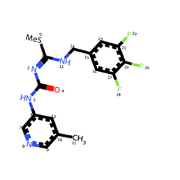 CS/C(=N/C(=O)Nc1cncc(C)c1)NCc1cc(F)c(F)c(F)c1